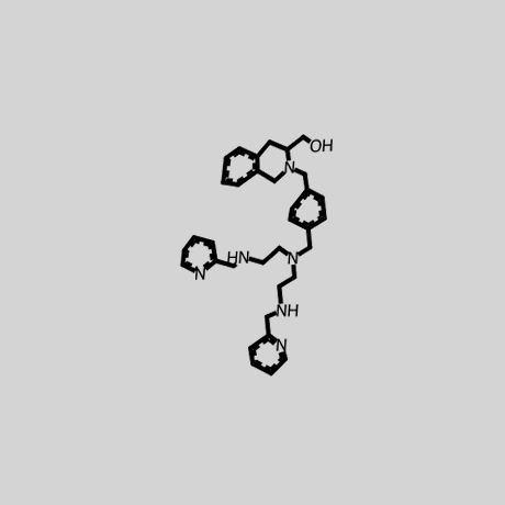 OCC1Cc2ccccc2CN1Cc1ccc(CN(CCNCc2ccccn2)CCNCc2ccccn2)cc1